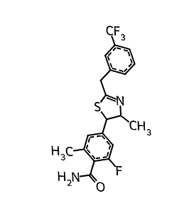 Cc1cc(C2SC(Cc3cccc(C(F)(F)F)c3)=NC2C)cc(F)c1C(N)=O